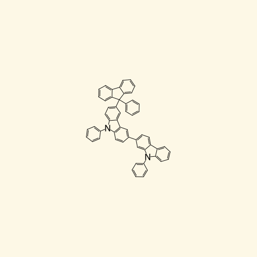 c1ccc(-n2c3ccc(-c4ccc5c6ccccc6n(-c6ccccc6)c5c4)cc3c3cc(C4(c5ccccc5)c5ccccc5-c5ccccc54)ccc32)cc1